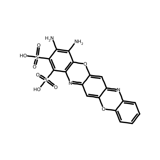 Nc1c(N)c(S(=O)(=O)O)c(S(=O)(=O)O)c2c1Oc1cc3c(cc1=N2)Oc1ccccc1N=3